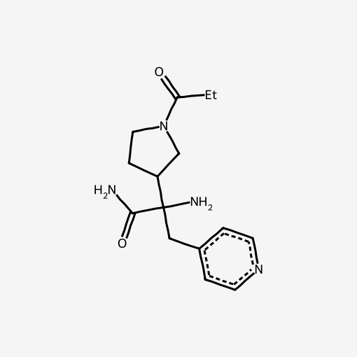 CCC(=O)N1CCC(C(N)(Cc2ccncc2)C(N)=O)C1